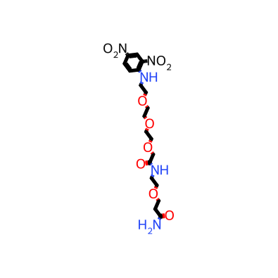 NC(=O)CCOCCNC(=O)COCCOCCOCCNc1ccc([N+](=O)[O-])cc1[N+](=O)[O-]